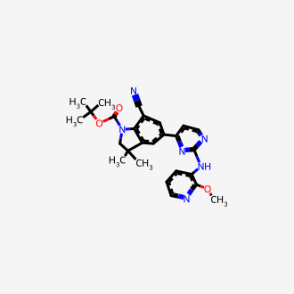 COc1ncccc1Nc1nccc(-c2cc(C#N)c3c(c2)C(C)(C)CN3C(=O)OC(C)(C)C)n1